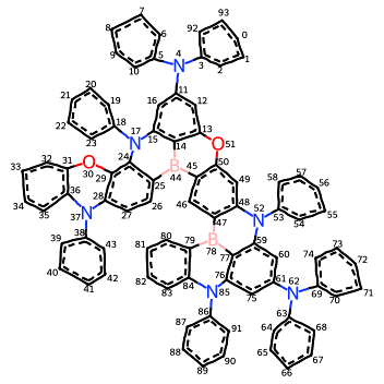 c1ccc(N(c2ccccc2)c2cc3c4c(c2)N(c2ccccc2)c2c(ccc5c2Oc2ccccc2N5c2ccccc2)B4c2cc4c(cc2O3)N(c2ccccc2)c2cc(N(c3ccccc3)c3ccccc3)cc3c2B4c2ccccc2N3c2ccccc2)cc1